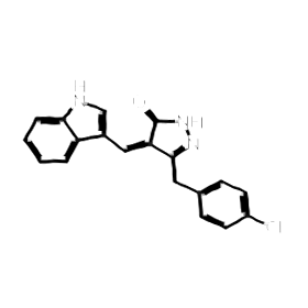 O=C1NN=C(Cc2ccc(Cl)cc2)/C1=C/c1c[nH]c2ccccc12